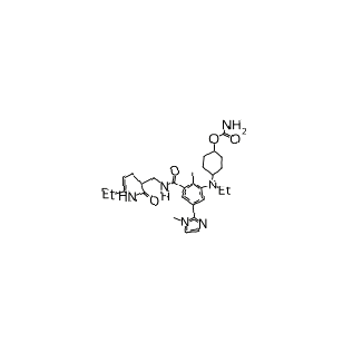 CCC1=CCC(CNC(=O)c2cc(-c3nccn3C)cc(N(CC)C3CCC(OC(N)=O)CC3)c2C)C(=O)N1